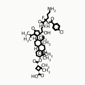 CC(C)C1=C2[C@H]3CC[C@@H]4[C@@]5(C)CC[C@H](OC(=O)[C@H]6C[C@@H](C(=O)O)C6(C)C)C(C)(C)[C@@H]5CC[C@@]4(C)[C@]3(C)CC[C@@]2([C@@H](O)CNC(=O)C(F)(CCCN)NC(=O)c2ccc(Cl)cc2)CC1=O